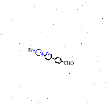 CC(C)N1CCN(c2ccc(-c3ccc(C=O)cc3)cn2)CC1